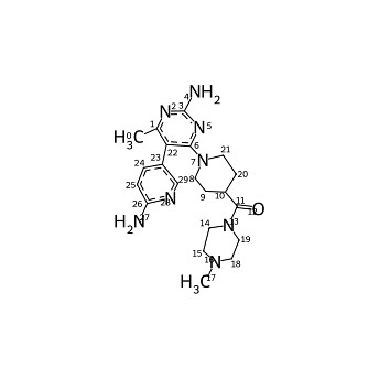 Cc1nc(N)nc(N2CCC(C(=O)N3CCN(C)CC3)CC2)c1-c1ccc(N)nc1